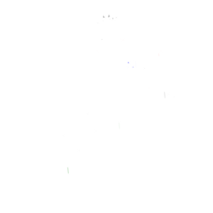 COC(=O)Oc1cc(-c2ccc(F)cc2F)sc1NC(=O)OC(C)(C)C